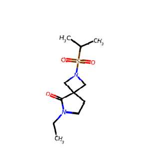 CCN1CCC2(CN(S(=O)(=O)C(C)C)C2)C1=O